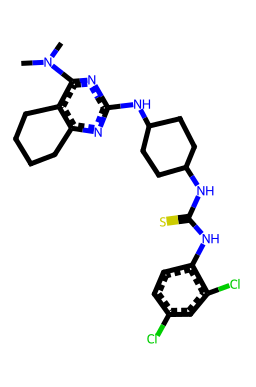 CN(C)c1nc(NC2CCC(NC(=S)Nc3ccc(Cl)cc3Cl)CC2)nc2c1CCCC2